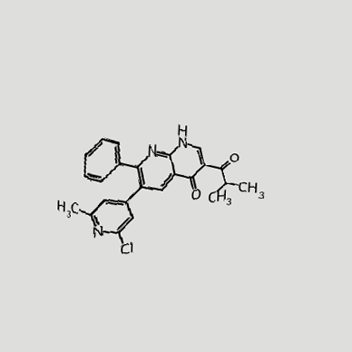 Cc1cc(-c2cc3c(=O)c(C(=O)C(C)C)c[nH]c3nc2-c2ccccc2)cc(Cl)n1